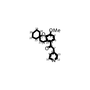 COc1ccc(C(=O)Cc2ccncc2)c2c1OC1(CCCCC1)CC2